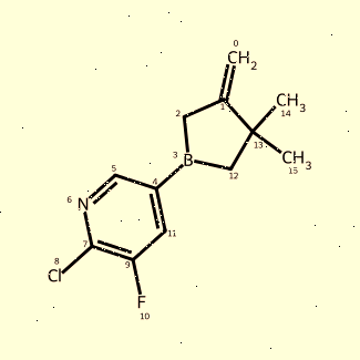 C=C1CB(c2cnc(Cl)c(F)c2)CC1(C)C